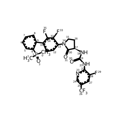 CP(C)(=O)c1ccccc1-c1ccc(N2CC[C@@H](NC(=O)Nc3ncc(C(F)(F)F)cc3F)C2=O)c(F)c1F